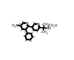 CC(C)(NC(=O)O)c1ccc(-c2ncc(N)cc2-c2ccccc2)cn1